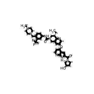 CC[C@H]1CN(C(=O)Nc2ccc(CN3CCN(C)CC3)c(C(F)(F)F)c2)Cc2cc(Oc3ccnc4[nH]c(C(=O)N5CC[C@@H](O)C5)cc34)cnc21